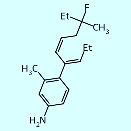 CC/C=C(\C=C/CC(C)(F)CC)c1ccc(N)cc1C